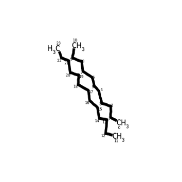 CCCCCCCCCCC.CCCCCCCCCCCCC